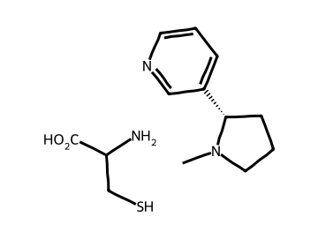 CN1CCC[C@H]1c1cccnc1.NC(CS)C(=O)O